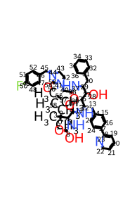 CC(C)(C)[C@H](NC(=O)O)C(=O)N[C@@H](Cc1ccc(-c2ccccn2)cc1)C[C@H](O)[C@H](Cc1ccccc1)NC(=O)[C@@H](N1CCN(Cc2ccc(F)cc2)C1=O)C(C)(C)C